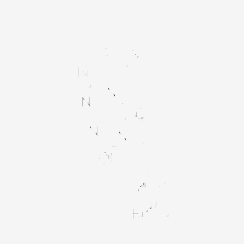 CN1c2nc(Br)n(Cc3ccccc3)c2C(=O)N(CCCO[Si](C)(C)C(C)(C)C)C1O